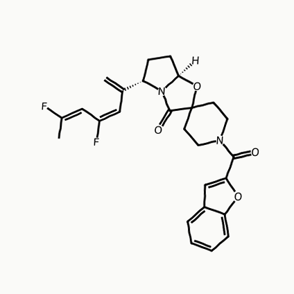 C=C(/C=C(F)\C=C(/C)F)[C@@H]1CC[C@H]2OC3(CCN(C(=O)c4cc5ccccc5o4)CC3)C(=O)N21